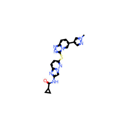 Cn1cc(-c2ccc3nnc(Sc4ccc5nc(NC(=O)C6CC6)cn5n4)n3c2)cn1